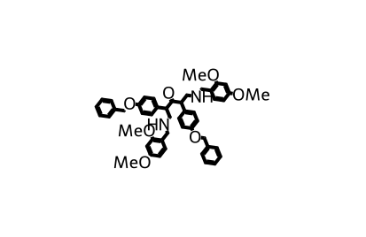 COc1ccc(CNCC(C(=O)C(CNCc2ccc(OC)cc2OC)c2ccc(OCc3ccccc3)cc2)c2ccc(OCc3ccccc3)cc2)c(OC)c1